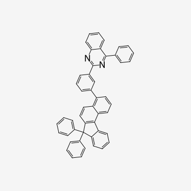 c1ccc(-c2nc(-c3cccc(-c4cccc5c6c(ccc45)C(c4ccccc4)(c4ccccc4)c4ccccc4-6)c3)nc3ccccc23)cc1